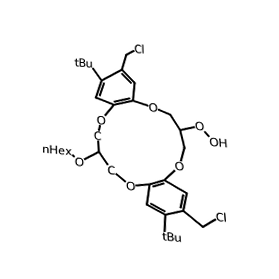 CCCCCCOC1COc2cc(C(C)(C)C)c(CCl)cc2OCC(OO)COc2cc(CCl)c(C(C)(C)C)cc2OC1